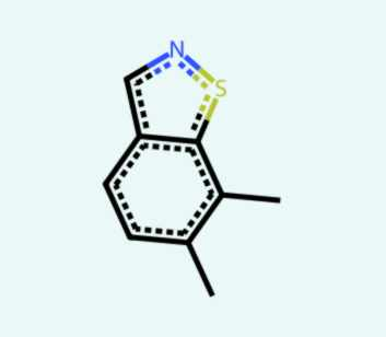 Cc1ccc2cnsc2c1C